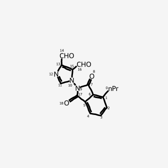 CCCc1cccc2c1C(=O)N(n1cnc(C=O)c1C=O)C2=O